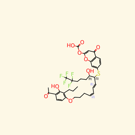 CCCc1c(OCCC/C=C\C=C\[C@H](Sc2ccc3c(=O)cc(OC(=O)O)oc3c2)[C@H](O)CCCC(F)(F)C(F)(F)F)ccc(C(C)=O)c1O